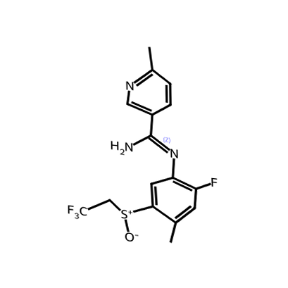 Cc1ccc(/C(N)=N/c2cc([S+]([O-])CC(F)(F)F)c(C)cc2F)cn1